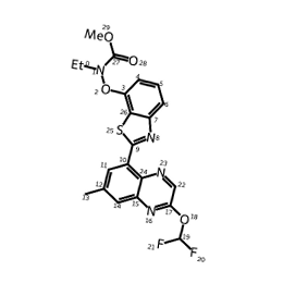 CCN(Oc1cccc2nc(-c3cc(C)cc4nc(OC(F)F)cnc34)sc12)C(=O)OC